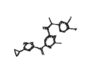 Cc1nc(Nc2cc(C3CC3)[nH]n2)cc(NC(C)c2ccc(F)c(F)c2)n1